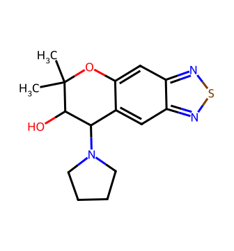 CC1(C)Oc2cc3nsnc3cc2C(N2CCCC2)C1O